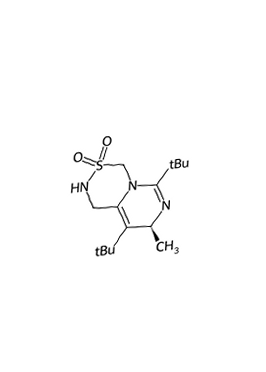 C[C@@H]1N=C(C(C)(C)C)N2CS(=O)(=O)NCC2=C1C(C)(C)C